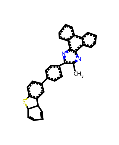 Cc1nc2c3ccccc3c3ccccc3c2nc1-c1ccc(-c2ccc3c(c2)C2C=CC=CC2S3)cc1